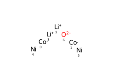 [Co].[Co].[Li+].[Li+].[Ni].[Ni].[O-2]